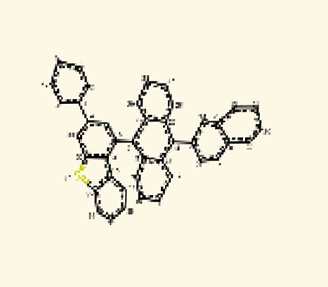 c1ccc(-c2cc(-c3c4ccccc4c(-c4ccc5ccccc5c4)c4ccccc34)c3c(c2)sc2ccccc23)cc1